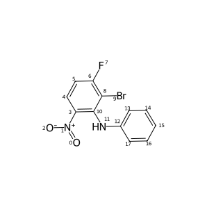 O=[N+]([O-])c1ccc(F)c(Br)c1Nc1ccccc1